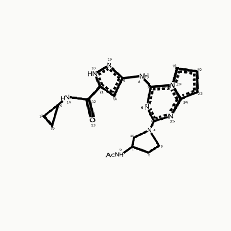 CC(=O)NC1CCN(c2nc(Nc3cc(C(=O)NC4CC4)[nH]n3)n3cccc3n2)C1